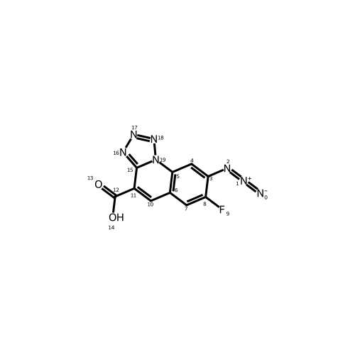 [N-]=[N+]=Nc1cc2c(cc1F)cc(C(=O)O)c1nnnn12